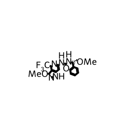 COC[C@@H](NC(=O)Nc1cc2[nH]nc(OC)c2c(C(F)(F)F)n1)c1ccccc1